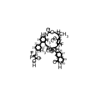 COc1cc2c(F)cc1[C@@H](C)COC(=O)Nc1ccc(-c3ccccc3)c(c1)CN(C)C(=O)[C@@H]2Nc1ccc2cc[nH]c(=O)c2c1.O=C(O)C(F)(F)F